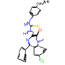 COc1ccc(NC(=S)NC2N=C(c3ccccc3)c3cc(Cl)ccc3N(C)C2=O)cc1